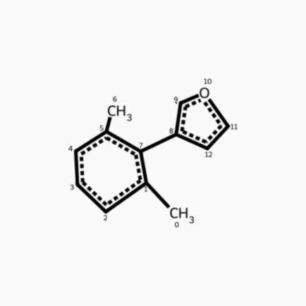 Cc1cccc(C)c1-c1[c]occ1